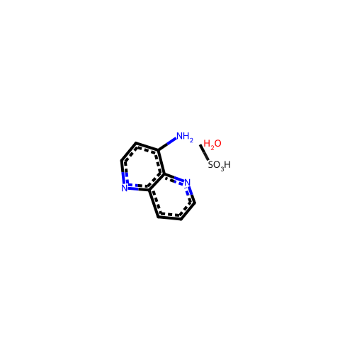 CS(=O)(=O)O.Nc1ccnc2cccnc12.O